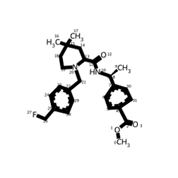 COC(=O)c1ccc([C@H](C)NC(=O)C2CC(C)(C)CCN2Cc2ccc(CF)cc2)cc1